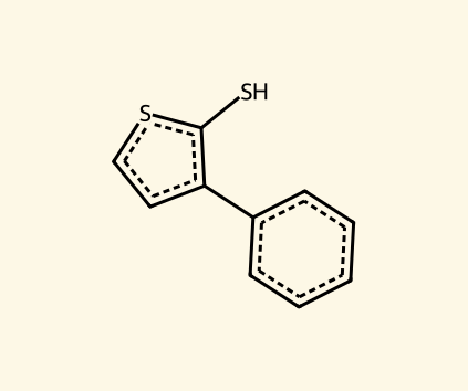 Sc1sccc1-c1ccccc1